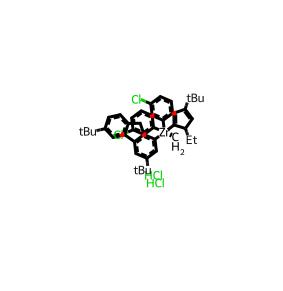 Cl.Cl.[CH2]=[Zr]([C]1=CC(C(C)(C)C)=CC1CC)([c]1cccc(Cl)c1)([c]1cccc(Cl)c1)[c]1cc(C(C)(C)C)cc2c1Cc1ccc(C(C)(C)C)cc1-2